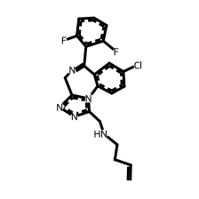 C=CCCNCc1nnc2n1-c1ccc(Cl)cc1C(c1c(F)cccc1F)=NC2